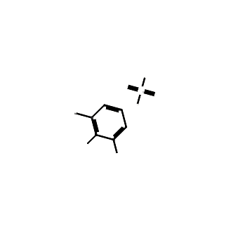 O=S(=O)(Cl)Cl.Oc1c(Cl)cccc1Cl